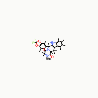 Cc1c(C)c([C@]2(C)c3[nH]c4c(C)c(C)c(C)c(C)c4c3C(C)(C)[C@]3(C)C(=O)N(C(C)(C)C)C(C)(C)C(=O)N23)c(C)c2c1OC(F)(F)O2